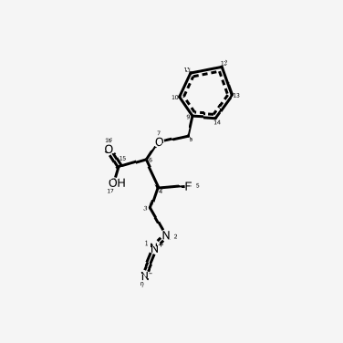 [N-]=[N+]=NCC(F)C(OCc1ccccc1)C(=O)O